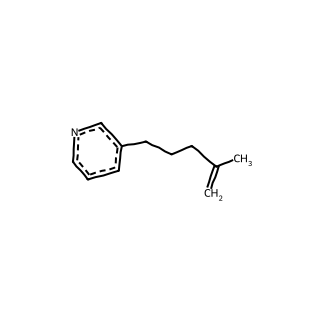 C=C(C)CCCc1cccnc1